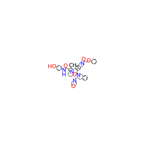 Cc1c(C(=O)Nc2ccc(O)cc2)c2n(c1-c1cc3c(cc1C(=O)N1Cc4ccccc4C[C@H]1CN1CCOCC1)CN(C(=O)COc1ccccc1)C3)CCCC2